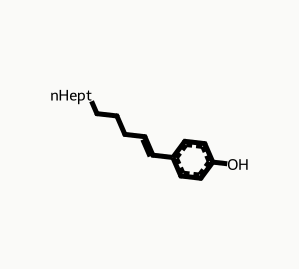 CCCCCCCCCCC=Cc1ccc(O)cc1